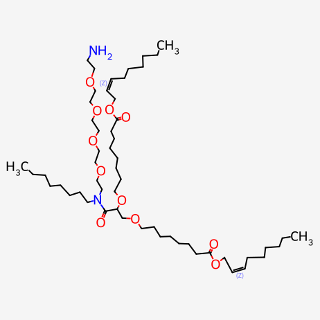 CCCCCC/C=C\COC(=O)CCCCCCCOCC(OCCCCCCCC(=O)OC/C=C\CCCCCC)C(=O)N(CCCCCCCC)CCOCCOCCOCCOCCN